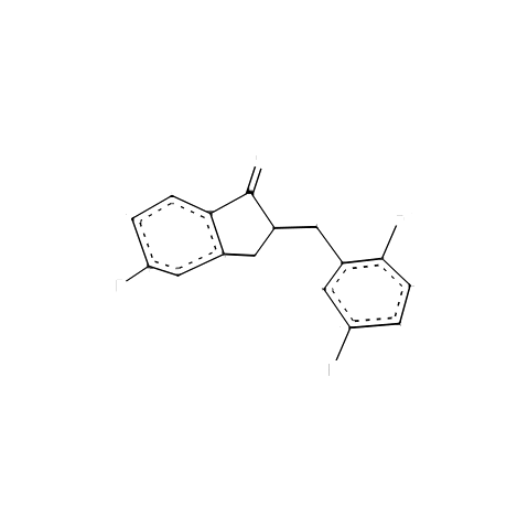 O=C1c2ccc(F)cc2CC1Cc1cc(F)ccc1Br